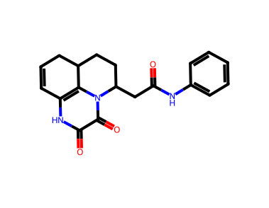 O=C(CC1CCC2CC=Cc3[nH]c(=O)c(=O)n1c32)Nc1ccccc1